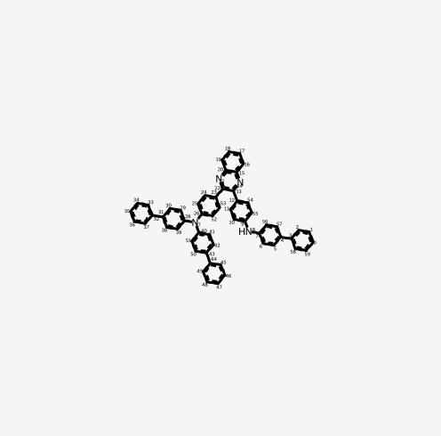 c1ccc(-c2ccc(Nc3ccc(-c4nc5ccccc5nc4-c4ccc(N(c5ccc(-c6ccccc6)cc5)c5ccc(-c6ccccc6)cc5)cc4)cc3)cc2)cc1